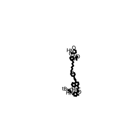 Cc1ccc(NC(=O)OC(C)(C)C)cc1C(=O)N[C@H](C)c1ccc(C#CC2CCN(CCCCCCc3cccc4c3n(C)c(=O)n4C3CCC(=O)NC3=O)CC2)c2ccccc12